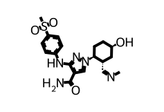 C/N=C\[C@H]1C[C@H](O)CC[C@@H]1n1cc(C(N)=O)c(Nc2ccc(S(C)(=O)=O)cc2)n1